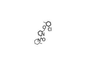 Cc1cccc(Cl)c1OCc1cccc(C(=O)N2CCCCC2C)n1